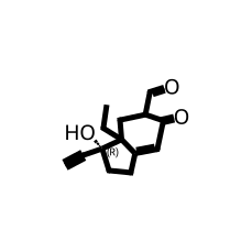 C#C[C@]1(O)CCC2=CC(=O)C(C=O)CC21CC